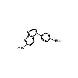 CNc1ccc(-c2ccnc3nc(OC)ccc23)cc1